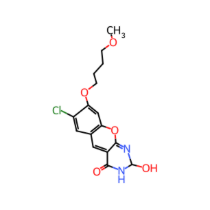 COCCCCOc1cc2c(cc1Cl)C=C1C(=O)NC(O)N=C1O2